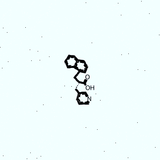 O=C(O)[C@H](Cc1cccnc1)Cc1cccc2ccccc12